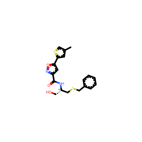 Cc1csc(-c2cc(C(=O)N[C@@H](CO)CSCc3ccccc3)no2)c1